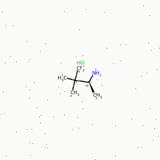 C[C@H](N)C(C)(C)C(F)(F)F.Cl